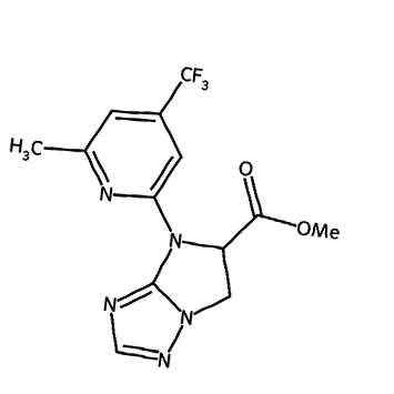 COC(=O)C1Cn2ncnc2N1c1cc(C(F)(F)F)cc(C)n1